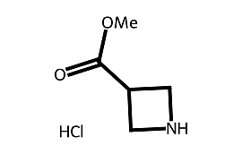 COC(=O)C1CNC1.Cl